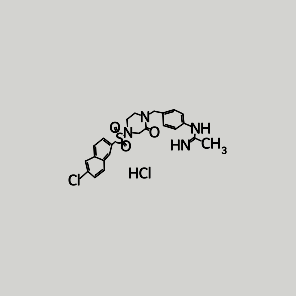 CC(=N)Nc1ccc(CN2CCN(S(=O)(=O)c3ccc4cc(Cl)ccc4c3)CC2=O)cc1.Cl